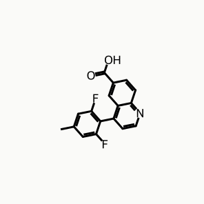 Cc1cc(F)c(-c2ccnc3ccc(C(=O)O)cc23)c(F)c1